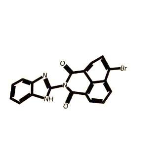 O=C1c2cccc3c(Br)ccc(c23)C(=O)N1c1nc2ccccc2[nH]1